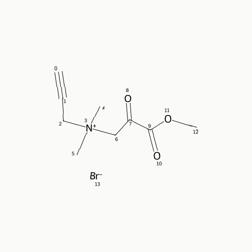 C#CC[N+](C)(C)CC(=O)C(=O)OC.[Br-]